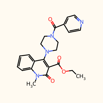 CCOC(=O)c1c(N2CCN(C(=O)c3ccncc3)CC2)c2ccccc2n(C)c1=O